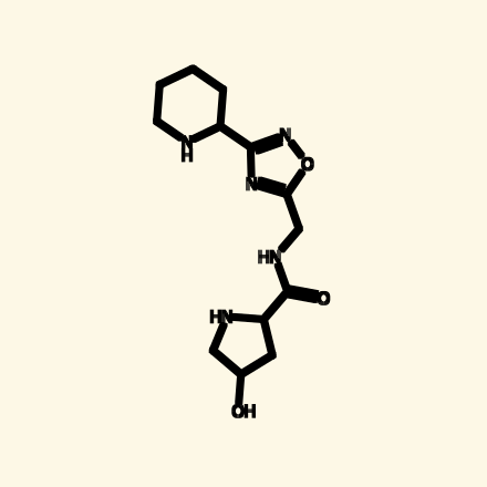 O=C(NCc1nc(C2CCCCN2)no1)C1CC(O)CN1